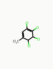 ClC1=C(Cl)C(Cl)C(Cl)C(C(Cl)(Cl)Cl)=C1